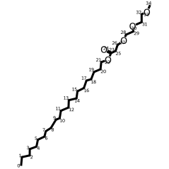 CCCCCCCCCCCCCCCCCCCCCCOC(=O)CCOCCOCCOC